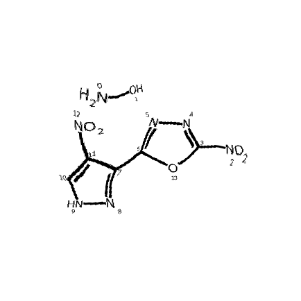 NO.O=[N+]([O-])c1nnc(-c2n[nH]cc2[N+](=O)[O-])o1